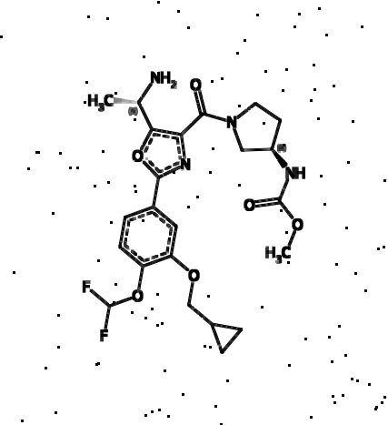 COC(=O)N[C@@H]1CCN(C(=O)c2nc(-c3ccc(OC(F)F)c(OCC4CC4)c3)oc2[C@H](C)N)C1